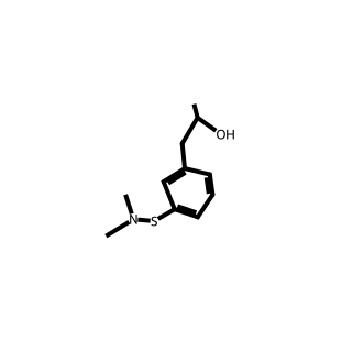 CC(O)Cc1cccc(SN(C)C)c1